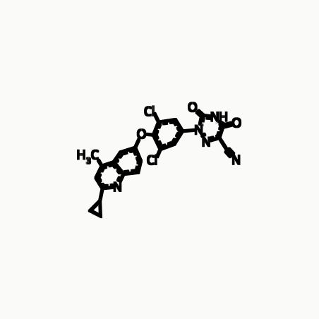 Cc1cc(C2CC2)nc2ccc(Oc3c(Cl)cc(-n4nc(C#N)c(=O)[nH]c4=O)cc3Cl)cc12